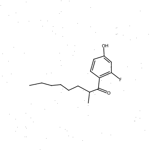 CCCCCCC(C)C(=O)c1ccc(O)cc1F